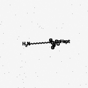 CCCCCCCC(=O)O[C@@H](COP=O)COC(=O)CCCCCCCCCCCCCCCN